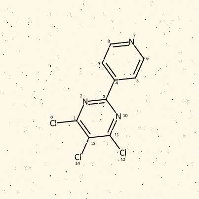 Clc1nc(-c2ccncc2)nc(Cl)c1Cl